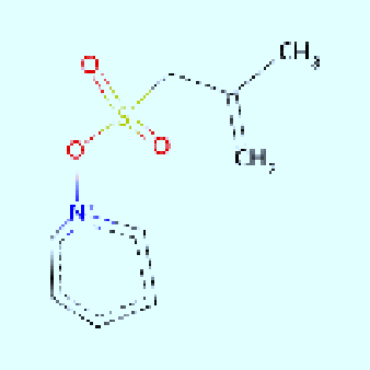 C=C(C)CS(=O)(=O)O[n+]1ccccc1